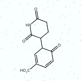 O=C1CCC(C2C=C(C(=O)O)C=CC2=O)C(=O)N1